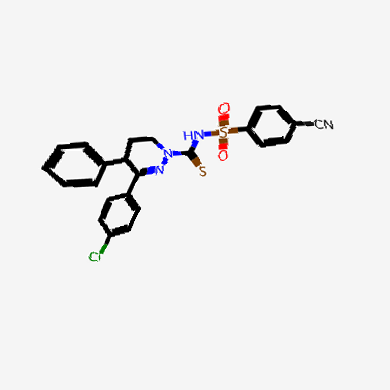 N#Cc1ccc(S(=O)(=O)NC(=S)N2CCC(c3ccccc3)C(c3ccc(Cl)cc3)=N2)cc1